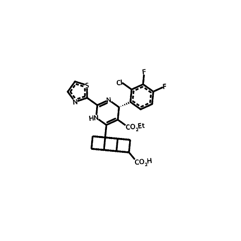 CCOC(=O)C1=C(C23C4C5C2C2C3C4C52C(=O)O)NC(c2nccs2)=N[C@@H]1c1ccc(F)c(F)c1Cl